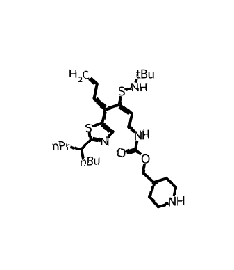 C=C/C=C(\C(=C/CNC(=O)OCC1CCNCC1)SNC(C)(C)C)c1cnc(C(CCC)CCCC)s1